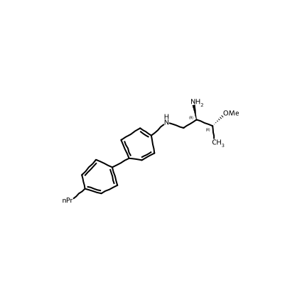 CCCc1ccc(-c2ccc(NC[C@@H](N)[C@@H](C)OC)cc2)cc1